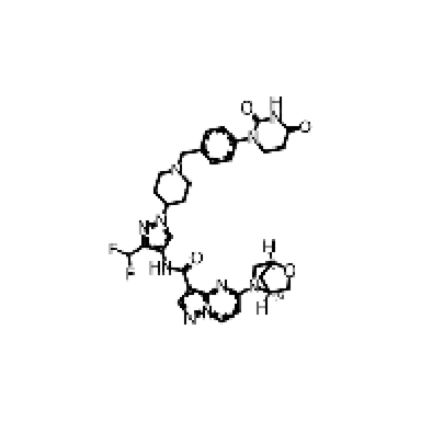 O=C1CCN(c2ccc(CN3CCC(n4cc(NC(=O)c5cnn6ccc(N7C[C@H]8C[C@@H]7CO8)nc56)c(C(F)F)n4)CC3)cc2)C(=O)N1